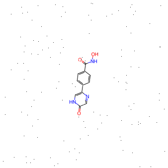 O=C(NO)c1ccc(-c2c[nH]c(=O)cn2)cc1